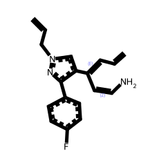 C=C/C=C(\C=C/N)c1cn(CC=C)nc1-c1ccc(F)cc1